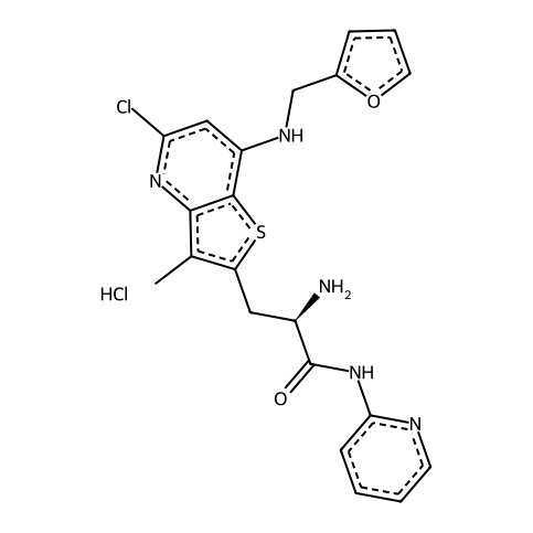 Cc1c(C[C@@H](N)C(=O)Nc2ccccn2)sc2c(NCc3ccco3)cc(Cl)nc12.Cl